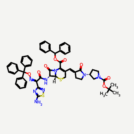 CC(C)(C)OC(=O)N1CC[C@@H](N2CC/C(=C\C3=C(C(=O)OC(c4ccccc4)c4ccccc4)N4C(=O)[C@@H](NC(=O)/C(=N\OC(c5ccccc5)(c5ccccc5)c5ccccc5)c5nsc(N)n5)[C@H]4SC3)C2=O)C1